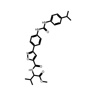 COC(=O)C(NC(=O)c1cc(-c2ccc(NC(=O)Nc3ccc(C(C)C)cc3)cc2)no1)C(C)C